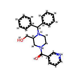 O=C(c1cccnc1)N1CCN(C(c2ccccc2)c2ccccc2)C(CO)C1